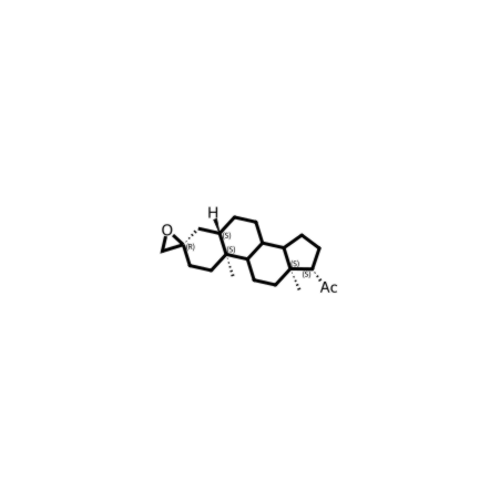 CC(=O)[C@H]1CCC2C3CC[C@H]4C[C@]5(CC[C@]4(C)C3CC[C@@]21C)CO5